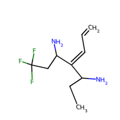 C=C/C=C(/C(N)CC)C(N)CC(F)(F)F